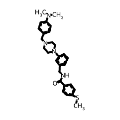 CSc1ccc(C(=O)NCc2cccc(N3CCN(Cc4ccc(N(C)C)cc4)CC3)c2)cc1